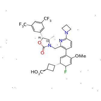 COC1=CC(F)C([C@H]2C[C@H](C(=O)O)C2)C=C1c1ccc(N2CCC2)nc1CN1C(=O)O[C@H](c2cc(C(F)(F)F)cc(C(F)(F)F)c2)[C@@H]1C